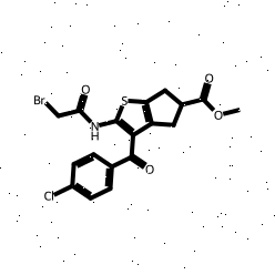 COC(=O)C1Cc2sc(NC(=O)CBr)c(C(=O)c3ccc(Cl)cc3)c2C1